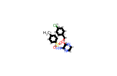 Cc1ccc(S(=O)(=O)Nc2nccnc2OCc2ccc(Cl)cc2)cc1